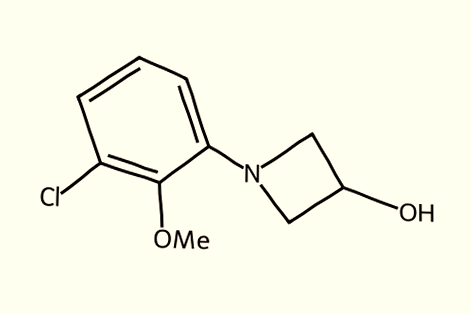 COc1c(Cl)cccc1N1CC(O)C1